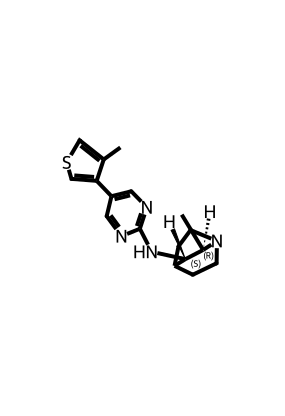 Cc1cscc1-c1cnc(N[C@H]2C3CCN(CC3)[C@@H]2C)nc1